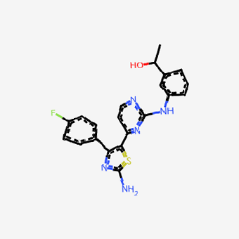 CC(O)c1cccc(Nc2nccc(-c3sc(N)nc3-c3ccc(F)cc3)n2)c1